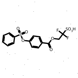 O=C(OCC(F)(F)S(=O)(=O)O)c1ccc(OS(=O)(=O)c2ccccc2)cc1